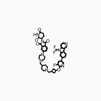 O=C1CCC(N2C(=O)c3ccc(N4CCN(CC5CCN(CC6CC(Oc7ncc(-c8ccc9c%10cnccc%10n(C(F)F)c9c8)cc7F)C6)CC5)CC4)cc3C2=O)C(=O)N1